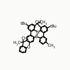 Cc1ccc2c(c1)-c1cc(C(C)(C)C)cc3c1N1B2c2cc4c(cc2-c2cc(C(C)(C)C)cc(c21)C3(C)C)C(C)(C)c1ccccc1O4